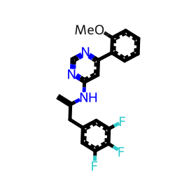 C=C(Cc1cc(F)c(F)c(F)c1)Nc1cc(-c2ccccc2OC)ncn1